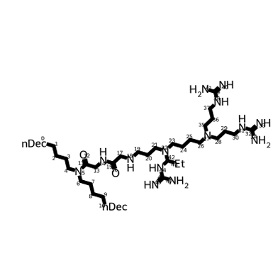 CCCCCCCCCCCCCCN(CCCCCCCCCCCCCC)C(=O)CNC(=O)CNCCCN(CCCCN(CCCNC(=N)N)CCCNC(=N)N)C(CC)NC(=N)N